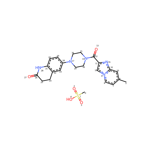 CS(=O)(=O)O.Cc1ccn2cc(C(=O)N3CCN(c4ccc5c(c4)CCC(=O)N5)CC3)nc2c1